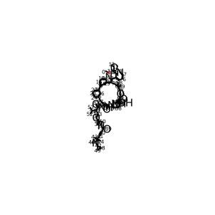 CCn1c(-c2cccnc2[C@H](C)OC)c2c3cc(ccc31)-c1cccc(c1)C[C@H](NC(=O)[C@@H](COC1CN(C(=O)C#CC(C)(C)N(C)C3CC3)C1)C(C)C)C(=O)N1CCC[C@@](O)(N1)C(=O)OCC(C)(C)C2